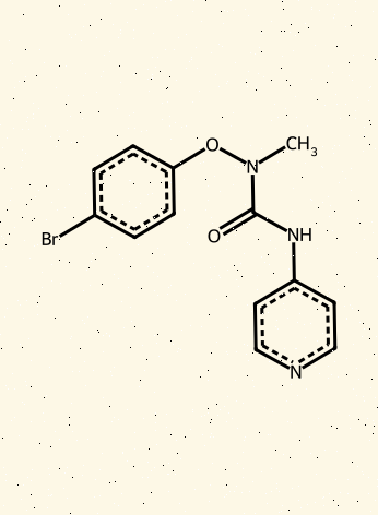 CN(Oc1ccc(Br)cc1)C(=O)Nc1ccncc1